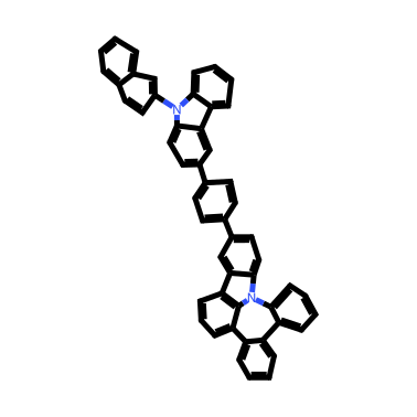 c1ccc2c(c1)-c1ccccc1-n1c3ccc(-c4ccc(-c5ccc6c(c5)c5ccccc5n6-c5ccc6ccccc6c5)cc4)cc3c3cccc-2c31